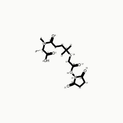 C[C@@H](C(=O)O)N(C)C(=O)CCC(C)(C)SCC(=O)ON1C(=O)CCC1=O